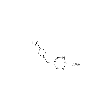 COc1ncc(CN2CC(C)C2)cn1